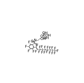 CN(CCO)S(=O)(=S)c1c(F)c(F)c(F)c(F)c1C(F)=C(F)C(F)(F)C(F)(F)C(F)(F)C(F)(F)C(F)(F)C(F)(F)C(F)(F)F.O=P(O)(O)O